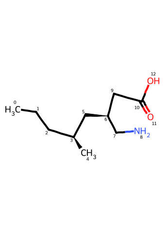 CCC[C@H](C)C[C@H](CN)CC(=O)O